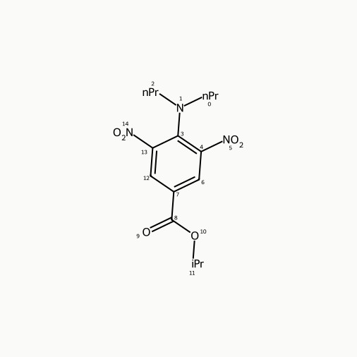 CCCN(CCC)c1c([N+](=O)[O-])cc(C(=O)OC(C)C)cc1[N+](=O)[O-]